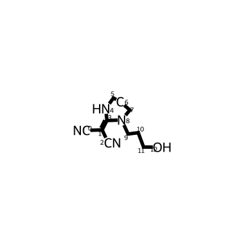 N#CC(C#N)=C1NCCCN1CCCO